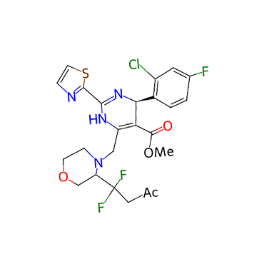 COC(=O)C1=C(CN2CCOCC2C(F)(F)CC(C)=O)NC(c2nccs2)=N[C@H]1c1ccc(F)cc1Cl